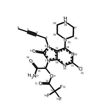 CC#CCn1c(=O)n(C(OC(=O)C(F)(F)F)C(N)=O)c2nc(Cl)nc(N3CCNCC3)c21